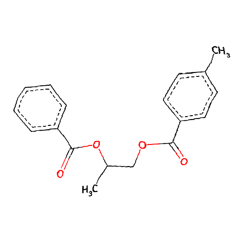 Cc1ccc(C(=O)OCC(C)OC(=O)c2ccccc2)cc1